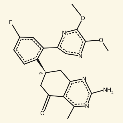 COc1ncc(-c2cc(F)ccc2[C@@H]2CC(=O)c3c(C)nc(N)nc3C2)nc1OC